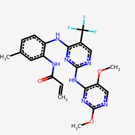 C=CC(=O)Nc1cc(C)ccc1Nc1nc(Nc2nc(OC)ncc2OC)ncc1C(F)(F)F